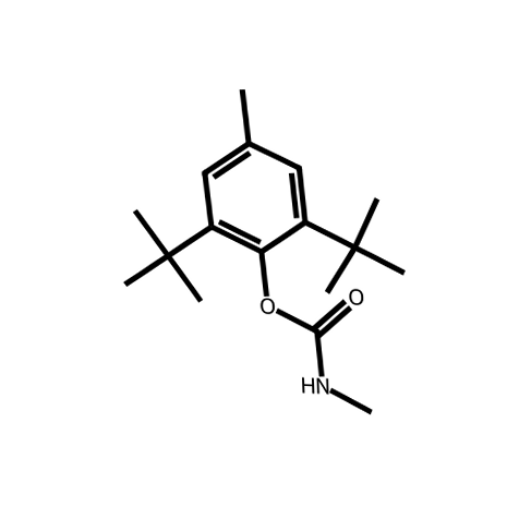 CNC(=O)Oc1c(C(C)(C)C)cc(C)cc1C(C)(C)C